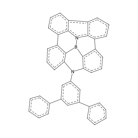 c1ccc(-c2cc(-c3ccccc3)cc(N3c4cccc5c4B4c6c(cccc63)-c3cccc6c7cccc-5c7n4c36)c2)cc1